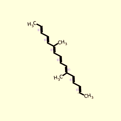 C/[C]=C/C=C/C(C)=C/C=C/C=C(C)/C=C/C=[C]/C